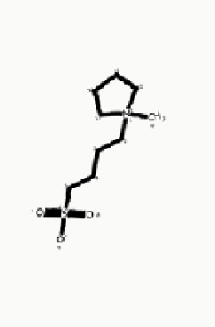 C[N+]1(CCCCS(=O)(=O)[O-])CCCC1